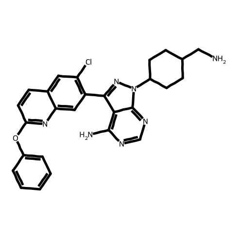 NCC1CCC(n2nc(-c3cc4nc(Oc5ccccc5)ccc4cc3Cl)c3c(N)ncnc32)CC1